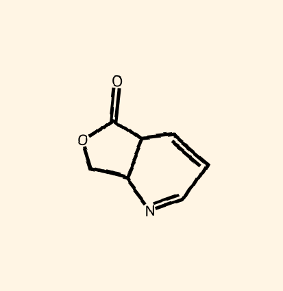 O=C1OCC2N=CC=CC12